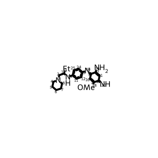 CCC(CN1CCCCC1)Nc1ccc(N=C2C=C(OC)C(=N)C=C2N)cc1